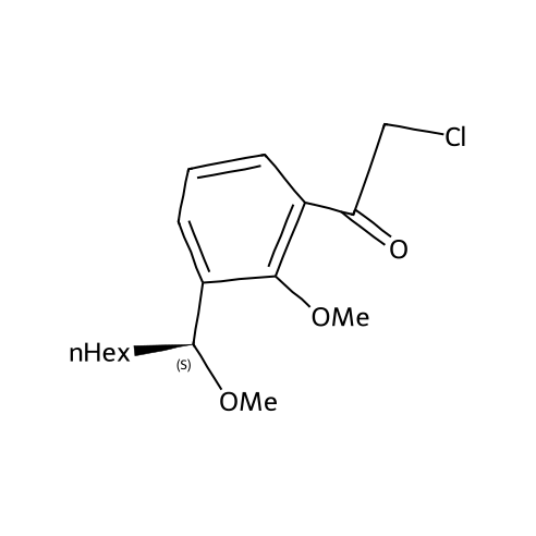 CCCCCC[C@H](OC)c1cccc(C(=O)CCl)c1OC